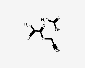 C#CCOC(=O)C(C)=O.CC(=O)O